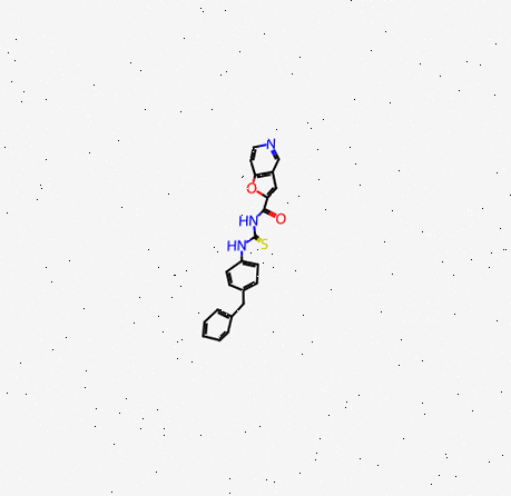 O=C(NC(=S)Nc1ccc(Cc2ccccc2)cc1)c1cc2cnccc2o1